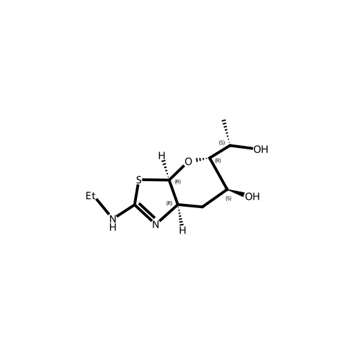 CCNC1=N[C@@H]2C[C@H](O)[C@@H]([C@H](C)O)O[C@@H]2S1